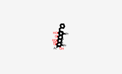 CC(=O)C1=C(O)C(C(C)C)[C@@]2(C)C[C@@]3(C)Cc4c(C(C)C)cc(CC5CCCCC5)c(O)c4C(=O)C3=C(O)[C@@]2(O)C1=O